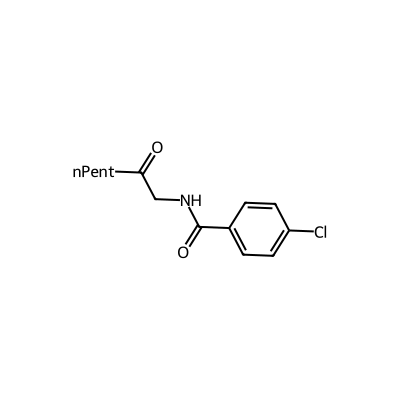 CCCCCC(=O)CNC(=O)c1ccc(Cl)cc1